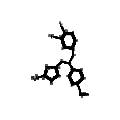 COc1ccc(C(Cc2ccc(F)c(F)c2)Cc2csc(N)n2)cc1